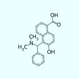 CN(C)C(c1ccccc1)c1c(O)ccc2c(C(=O)O)cccc12